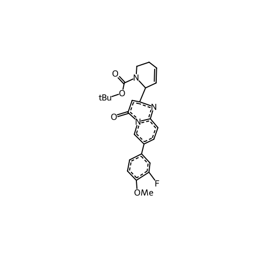 COc1ccc(-c2ccc3nc(C4C=CCCN4C(=O)OC(C)(C)C)cc(=O)n3c2)cc1F